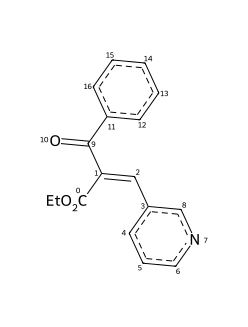 CCOC(=O)/C(=C\c1cccnc1)C(=O)c1ccccc1